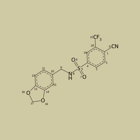 N#Cc1ccc(S(=O)(=O)NCc2ccc3c(c2)OCO3)cc1C(F)(F)F